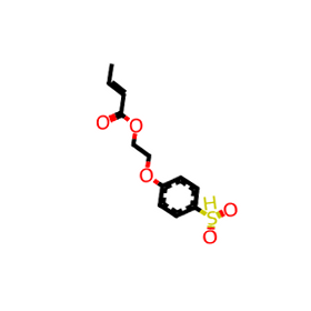 CC=CC(=O)OCCOc1ccc([SH](=O)=O)cc1